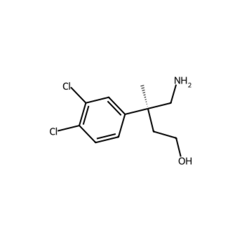 C[C@](CN)(CCO)c1ccc(Cl)c(Cl)c1